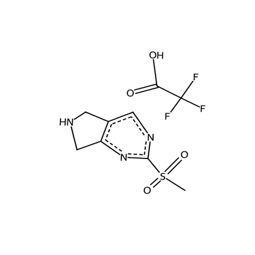 CS(=O)(=O)c1ncc2c(n1)CNC2.O=C(O)C(F)(F)F